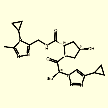 Cc1nnc(CNC(=O)[C@@H]2C[C@@H](O)CN2C(=O)[C@@H](n2cc(C3CC3)nn2)C(C)(C)C)n1C1CC1